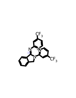 FC(F)(F)c1ccnc(/N=C2/c3ccccc3CN2c2cc(C(F)(F)F)ccn2)c1